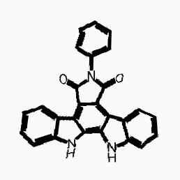 O=C1c2c(c3c4ccccc4[nH]c3c3[nH]c4ccccc4c23)C(=O)N1c1ccccc1